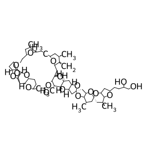 C=C1C2C[C@@H]3O[C@H]4C[C@H]5O[C@]6(CC7O[C@]8(C[C@H](C)C9OC(CC[C@@H](O)CO)CC9O8)C[C@H](C)C7O6)C[C@H]5O[C@H]4[C@H](C)C3OC(=O)CC3CCC4O[C@@H]5C6O[C@@H]7C[C@](CCC8CC(C)[C@H](CCC(C[C@H]1C)O2)O8)(OC6[C@H]4O3)OC57